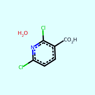 O.O=C(O)c1ccc(Cl)nc1Cl